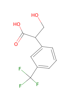 O=C(O)C(CO)c1cccc(C(F)(F)F)c1